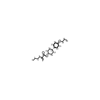 CCCC[C@H](F)C(=O)O[C@H]1CC[C@H](c2ccc(OCCC)cc2)CC1